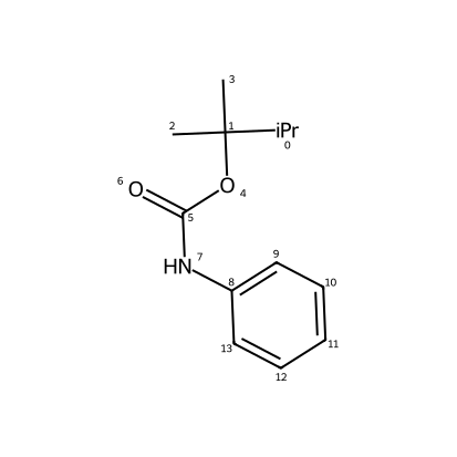 CC(C)C(C)(C)OC(=O)Nc1ccccc1